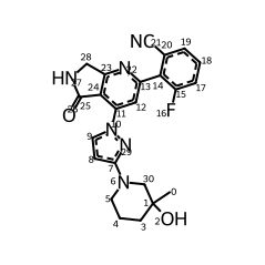 CC1(O)CCCN(c2ccn(-c3cc(-c4c(F)cccc4C#N)nc4c3C(=O)NC4)n2)C1